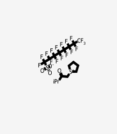 CC(C)C(=O)C[S+]1CCCC1.O=S(=O)([O-])C(F)(F)C(F)(F)C(F)(F)C(F)(F)C(F)(F)C(F)(F)C(F)(F)C(F)(F)F